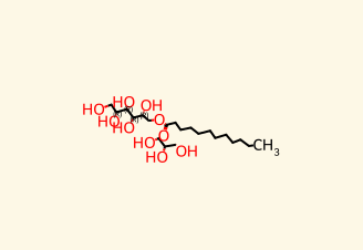 CCCCCCCCCCCC(=O)OC[C@@H](O)[C@@H](O)[C@H](O)[C@H](O)CO.OCC(O)CO